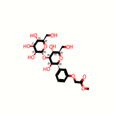 COC(=O)COc1cccc([C@H]2O[C@H](CO)[C@@H](O)[C@H](O[C@H]3O[C@H](CO)[C@@H](O)[C@H](O)[C@@H]3O)[C@@H]2O)c1